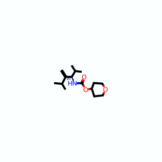 C=C(C(C)C)[C@H](NC(=O)OC1CCOCC1)C(C)C